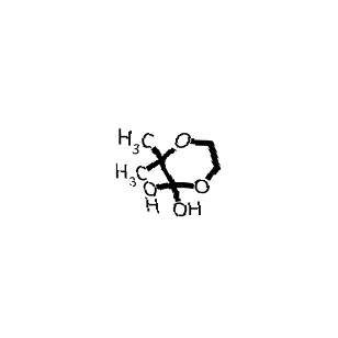 CC1(C)OCCOC1(O)O